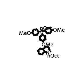 CCCCCCCC[B-](c1ccc(OC)cc1)(c1ccc(OC)cc1)c1ccc(OC)cc1.CCCCCCCC[n+]1cccc2ccccc21